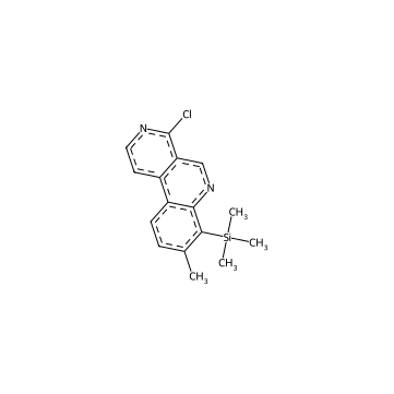 Cc1ccc2c(ncc3c(Cl)nccc32)c1[Si](C)(C)C